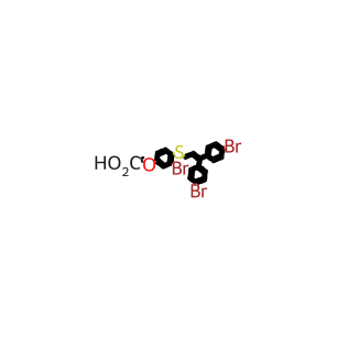 O=C(O)COc1ccc(SCC=C(c2ccc(Br)cc2)c2ccc(Br)cc2)c(Br)c1